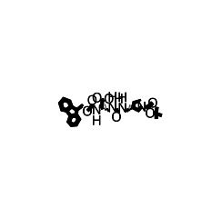 CC(C)(C)OC(=O)N1CC[C@H](CNC(=O)NC[C@H](NC(=O)OCC2c3ccccc3-c3ccccc32)C(=O)O)C1